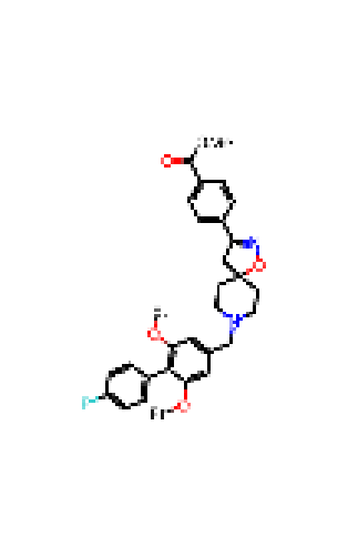 CCOc1cc(CN2CCC3(CC2)CC(c2ccc(C(=O)OC)cc2)=NO3)cc(OCC)c1-c1ccc(F)cc1